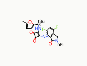 CCCN1Cc2c(F)cc(F)c(Nc3c(N[C@@H](c4ccc(C)o4)C(C)(C)C)c(=O)c3=O)c2C1=O